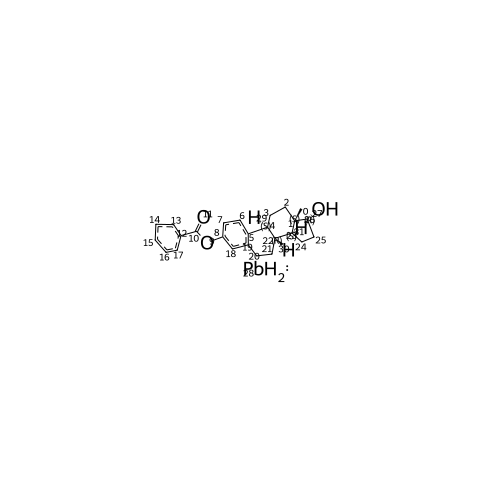 C[C@]12CC[C@@H]3c4ccc(OC(=O)c5ccccc5)cc4CC[C@H]3[C@@H]1CC[C@H]2O.[PbH2]